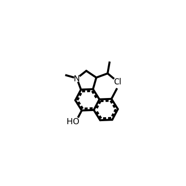 Cc1cccc2c(O)cc3c(c12)C(C(C)Cl)CN3C